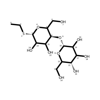 CCS[C@@H]1OC(CO)[C@@H](O[C@H]2OC(CO)[C@@H](O)C(O)C2O)C(O)C1O